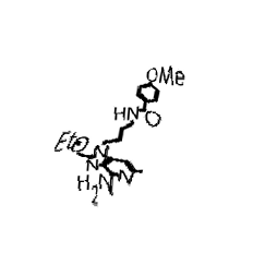 CCOCc1nc2c(N)nc(C)cc2n1CCCCNC(=O)c1ccc(OC)cc1